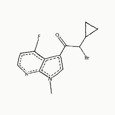 Cn1cc(C(=O)C(Br)C2CC2)c2c(F)ccnc21